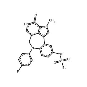 CCS(=O)(=O)Nc1ccc2c(c1)-c1cn(C)c3c(=O)[nH]cc(c13)CN2c1ccc(F)cc1